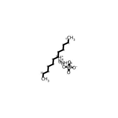 CCCCCCCCCCCC.[NH4+].[NH4+].[O]=[W](=[O])([O-])[O-]